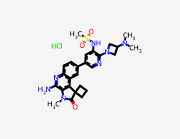 CN1C(=O)C2(CCC2)c2c1c(N)nc1ccc(-c3cnc(N4CC(N(C)C)C4)c(NS(C)(=O)=O)c3)cc21.Cl